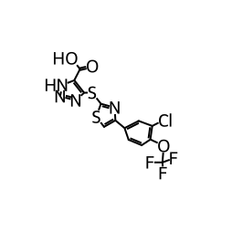 O=C(O)c1[nH]nnc1Sc1nc(-c2ccc(OC(F)(F)F)c(Cl)c2)cs1